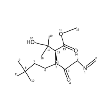 C=NCC(=O)N(CCC(C)(C)C)[C@H](C(=O)OC)C(C)(C)O